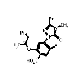 CC(C)C[C@H](C)Oc1cc(-n2nc(C(C)C)n(C)c2=O)c(F)cc1C(=O)O